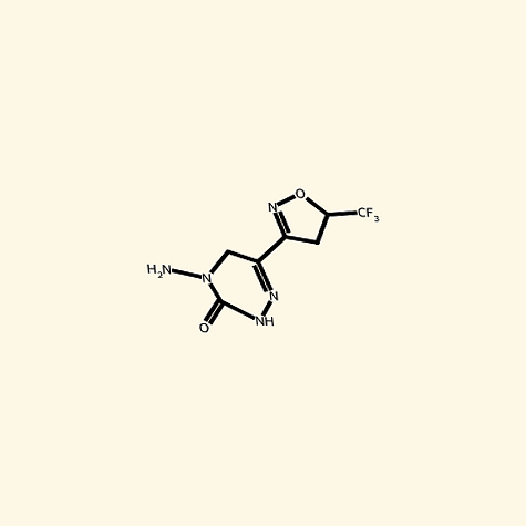 NN1CC(C2=NOC(C(F)(F)F)C2)=NNC1=O